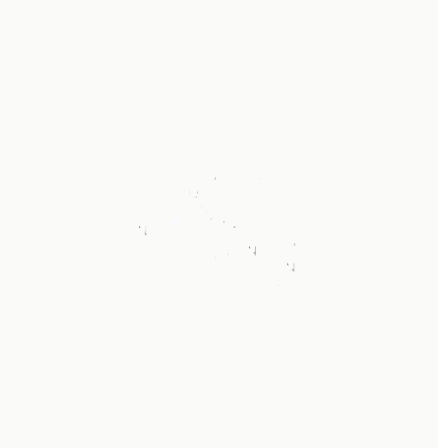 CN1CCN(C(=O)C(C)(C)c2ccccc2S(=O)(=O)/C=C/C#N)CC1